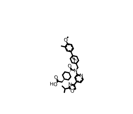 COc1ccc(C23CCC(CN(c4cc(-c5coc(C(C)C)n5)ccn4)C(=O)[C@H]4CC[C@H](CC(=O)O)CC4)(CC2)CC3)cc1C